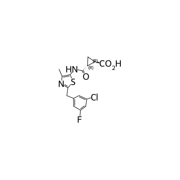 Cc1nc(Cc2cc(F)cc(Cl)c2)sc1NC(=O)[C@@H]1C[C@H]1C(=O)O